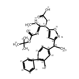 CNC(=NC(=O)OC(C)(C)C)N(CC(=O)O)c1cc(C(C)c2ccc(-c3ccccc3)c(F)c2)no1